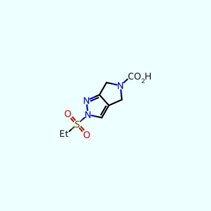 CCS(=O)(=O)n1cc2c(n1)CN(C(=O)O)C2